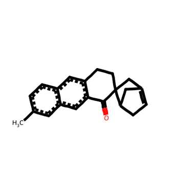 Cc1ccc2cc3c(cc2c1)C(=O)C1(CC3)CC2=CCC1C2